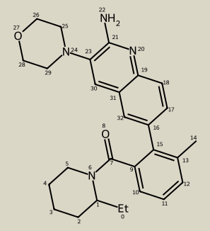 CCC1CCCCN1C(=O)c1cccc(C)c1-c1ccc2nc(N)c(N3CCOCC3)cc2c1